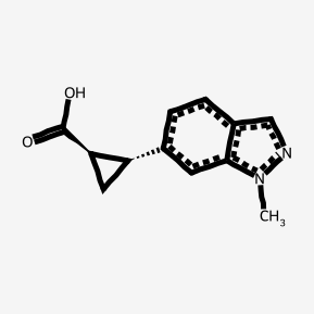 Cn1ncc2ccc([C@@H]3C[C@H]3C(=O)O)cc21